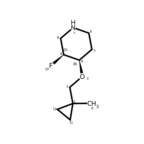 CC1(CO[C@@H]2CCNC[C@@H]2F)CC1